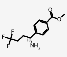 COC(=O)c1ccc([C@H](N)CCC(F)(F)F)cc1